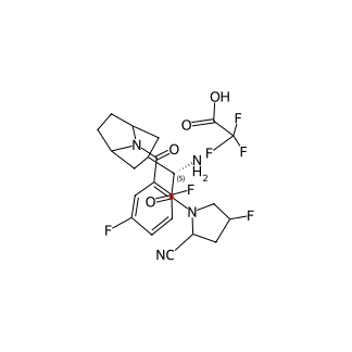 N#CC1CC(F)CN1C(=O)[C@@H](N)C1CC2CCC(C1)N2C(=O)c1cc(F)ccc1F.O=C(O)C(F)(F)F